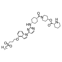 CS(=O)(=O)CCCOc1cccc2c1ccn2-c1ccnc(N[C@H]2CC[C@H](C(=O)N3CCC(OC(=O)[C@@H]4CCCCN4)CC3)CC2)n1